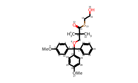 COc1ccc(C(OCC(C)(C)C(=O)SCCO)(c2ccccc2)c2ccc(OC)cc2)cc1